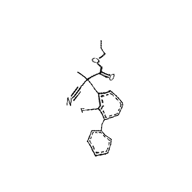 CCOC(=O)C(C)(C#N)c1cccc(-c2ccccc2)c1F